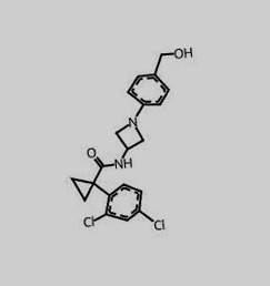 O=C(NC1CN(c2ccc(CO)cc2)C1)C1(c2ccc(Cl)cc2Cl)CC1